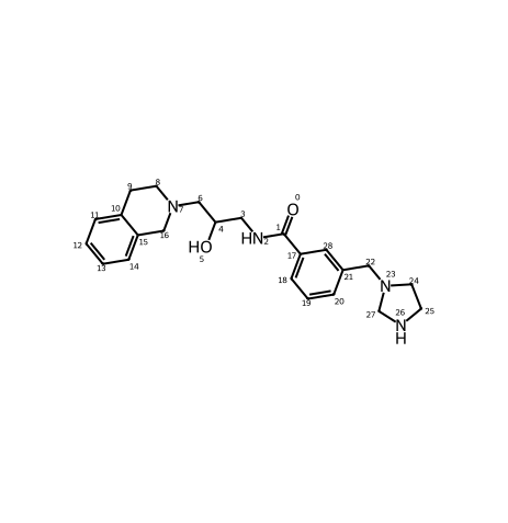 O=C(NCC(O)CN1CCc2ccccc2C1)c1cccc(CN2CCNC2)c1